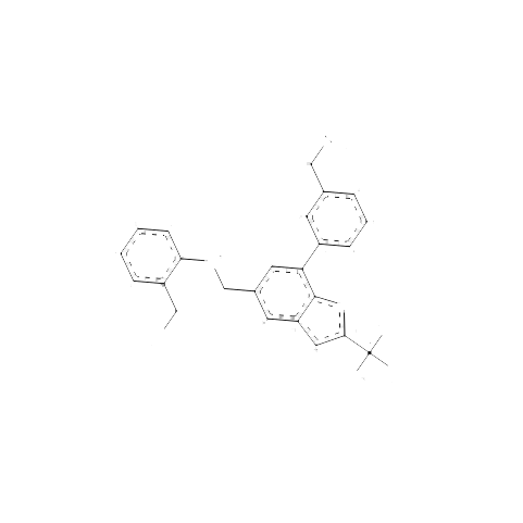 CCOC(=O)Cc1ccccc1OCc1cc(-c2cccc(CN)c2)c2oc(C(C)(C)O)cc2c1